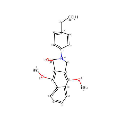 CCCCOc1c2c(c(OC(C)C)c3ccccc13)C(=O)N(c1ccc(CC(=O)O)cc1)C2